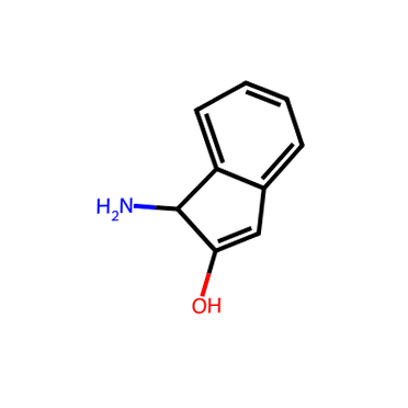 NC1C(O)=Cc2ccccc21